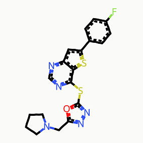 Fc1ccc(-c2cc3ncnc(Sc4nnc(CN5CCCC5)o4)c3s2)cc1